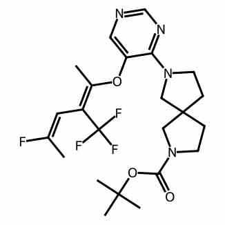 C/C(Oc1cncnc1N1CCC2(CCN(C(=O)OC(C)(C)C)C2)C1)=C(\C=C(/C)F)C(F)(F)F